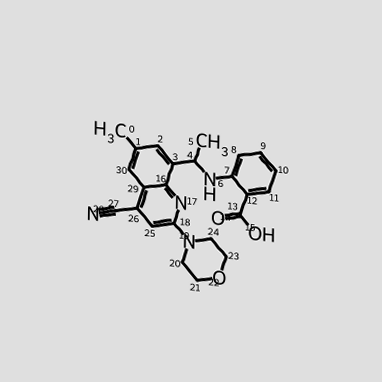 Cc1cc(C(C)Nc2ccccc2C(=O)O)c2nc(N3CCOCC3)cc(C#N)c2c1